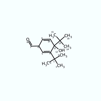 CC(C)(C)C1=CC(C=O)C=CC1(O)C(C)(C)C